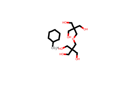 O=C(O)C1CCCCC1.OCC(CO)(CO)COCC(CO)(CO)CO